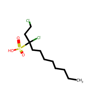 CCCCCCCCC(Cl)(CCCl)S(=O)(=O)O